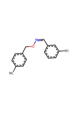 CCc1cccc(/[C]=N\OCc2ccc(C#N)cc2)c1